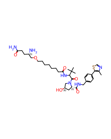 Cc1ncsc1-c1ccc(CNC(=O)[C@@H]2C[C@@H](O)CN2C(=O)C(NC(=O)CCCCCCCOC[C@@H](N)CCC(N)=O)C(C)(C)C)cc1